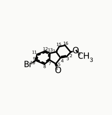 COC1C=C2C(=O)c3cc(Br)ccc3C2CC1